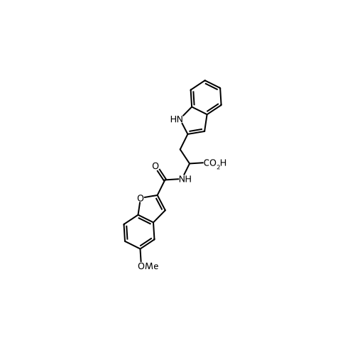 COc1ccc2oc(C(=O)NC(Cc3cc4ccccc4[nH]3)C(=O)O)cc2c1